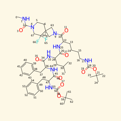 CNC(=O)N1CCC2(CN(C(=O)C(CCCCNC(=O)OC(C)(C)C)NC(=O)C(CC(C)C)NC(=O)C(Cc3ccccc3)NC(=O)C(Cc3ccccc3)NC(=O)OC(C)(C)C)C2)C(F)(F)C1